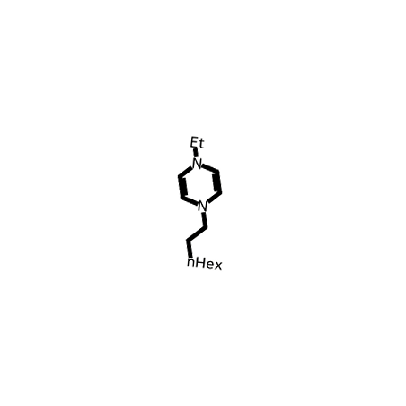 CCCCCCCCN1C=CN(CC)C=C1